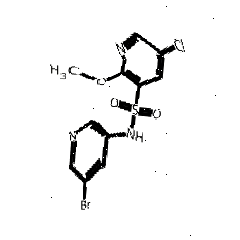 COc1ncc(Cl)cc1S(=O)(=O)Nc1cncc(Br)c1